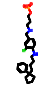 O=[PH](O)OCCCNCc1ccc(NCCCCC2(c3ccccc3)CCCC2)c(Cl)c1